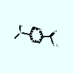 CC(C)N(C)c1cnc(C(N)=O)cn1